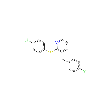 Clc1ccc(Cc2cccnc2Sc2ccc(Cl)cc2)cc1